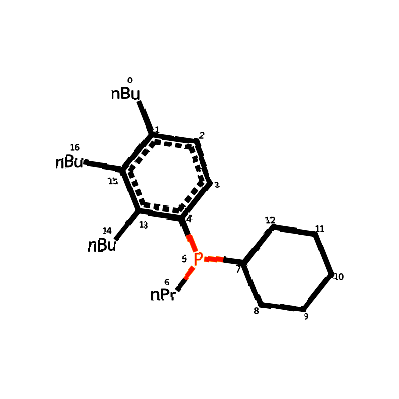 CCCCc1ccc(P(CCC)C2CCCCC2)c(CCCC)c1CCCC